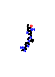 CCc1cc2ncc(CN3CCN(c4ccc(-c5cnc(C)[nH]5)nc4)C4CCC43)cc2[nH]c1=O